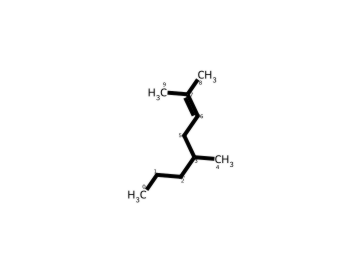 CC[CH]C(C)CC=C(C)C